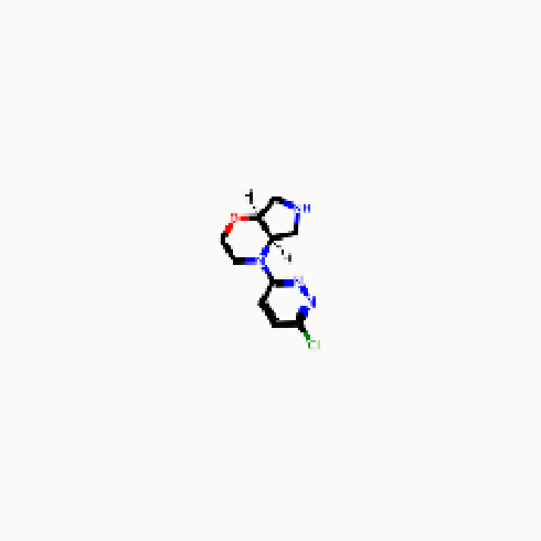 Clc1ccc(N2CCO[C@H]3CNC[C@H]32)nn1